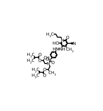 C=C(C)C(=O)OC(C)CN(CC(C)OC(=O)C(=C)C)S(=O)(=O)c1ccc(NNc2c(C)c(C#N)c(=O)n(CCCC)c2O)cc1